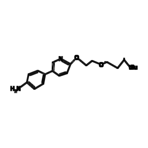 CC(C)(C)[CH]C[CH]OCCOc1ccc(-c2ccc(N)cc2)cn1